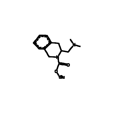 CN(C)CC1Cc2ccccc2CN1C(=O)OC(C)(C)C